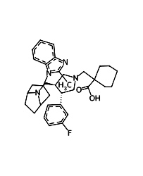 Cc1nc2ccccc2n1C1CC2CCC(C1)N2C[C@H]1CN(CC2(C(=O)O)CCCCC2)C[C@@H]1c1cccc(F)c1